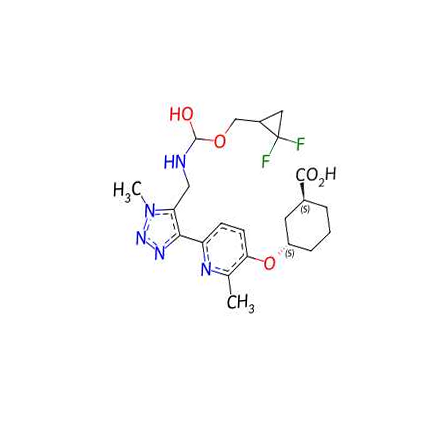 Cc1nc(-c2nnn(C)c2CNC(O)OCC2CC2(F)F)ccc1O[C@H]1CCC[C@H](C(=O)O)C1